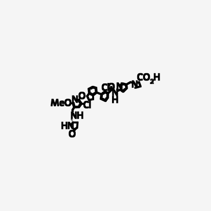 COc1nc(O[C@H]2CCc3c(-c4cccc(C(=O)Nc5ccc(CN6CC[C@H]6C(=O)O)cn5)c4Cl)cccc32)c(Cl)cc1CNC[C@@H]1CCC(=O)N1